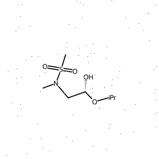 CC(C)O[C@@H](O)CN(C)S(C)(=O)=O